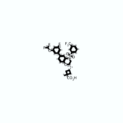 C[C@]1(C(=O)O)C[C@H](C[C@H]2CN(S(=O)(=O)c3cccc(C(F)(F)F)c3)c3cc(-c4cc(F)cc(OC(F)F)c4)ccc3O2)C1